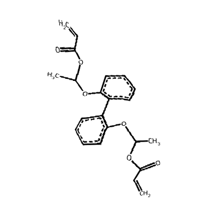 C=CC(=O)OC(C)Oc1ccccc1-c1ccccc1OC(C)OC(=O)C=C